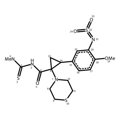 CNC(=S)NC(=O)C1(N2CCSCC2)CC1c1ccc(OC)c(N=S(=O)=O)c1